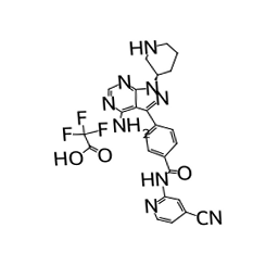 N#Cc1ccnc(NC(=O)c2ccc(-c3nn([C@@H]4CCCNC4)c4ncnc(N)c34)cc2)c1.O=C(O)C(F)(F)F